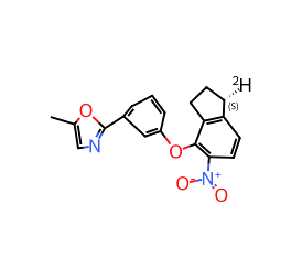 [2H][C@H]1CCc2c1ccc([N+](=O)[O-])c2Oc1cccc(-c2ncc(C)o2)c1